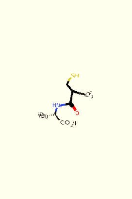 CC[C@@H](C)[C@@H](NC(=O)C(CS)C(F)(F)F)C(=O)O